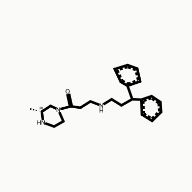 C[C@@H]1CN(C(=O)CCNCCC(c2ccccc2)c2ccccc2)CCN1